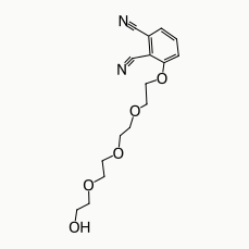 N#Cc1cccc(OCCOCCOCCOCCO)c1C#N